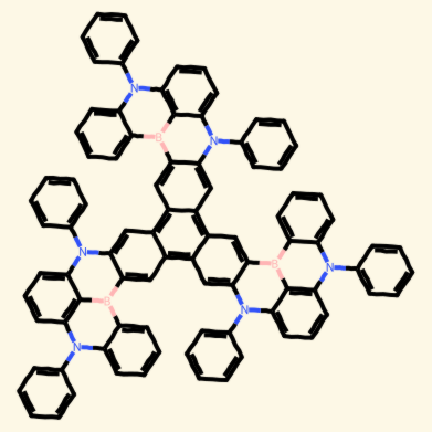 c1ccc(N2c3ccccc3B3c4cc5c6cc7c(cc6c6cc8c(cc6c5cc4N(c4ccccc4)c4cccc2c43)B2c3ccccc3N(c3ccccc3)c3cccc(c32)N8c2ccccc2)B2c3ccccc3N(c3ccccc3)c3cccc(c32)N7c2ccccc2)cc1